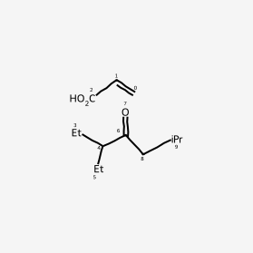 C=CC(=O)O.CCC(CC)C(=O)CC(C)C